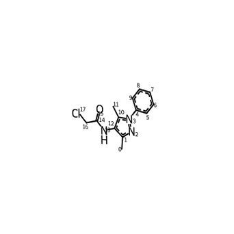 Cc1nn(-c2ccccc2)c(C)c1NC(=O)CCl